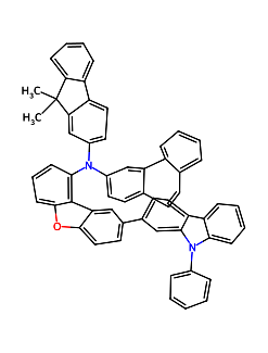 CC1(C)c2ccccc2-c2ccc(N(c3ccc4ccc5ccccc5c4c3)c3cccc4oc5ccc(-c6ccc7c8ccccc8n(-c8ccccc8)c7c6)cc5c34)cc21